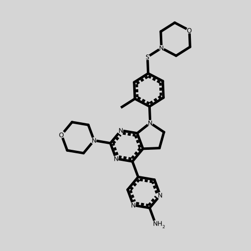 Cc1cc(SN2CCOCC2)ccc1N1CCc2c(-c3cnc(N)nc3)nc(N3CCOCC3)nc21